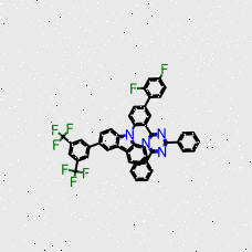 Fc1ccc(-c2ccc(-n3c4ccccc4c4cc(-c5cc(C(F)(F)F)cc(C(F)(F)F)c5)ccc43)c(-c3nc(-c4ccccc4)nc(-c4ccccc4)n3)c2)c(F)c1